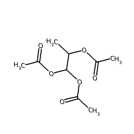 [CH2]C(OC(C)=O)C(OC(C)=O)OC(C)=O